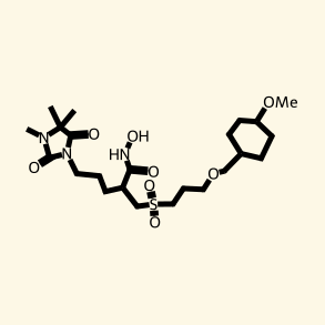 COC1CCC(COCCCS(=O)(=O)CC(CCCN2C(=O)N(C)C(C)(C)C2=O)C(=O)NO)CC1